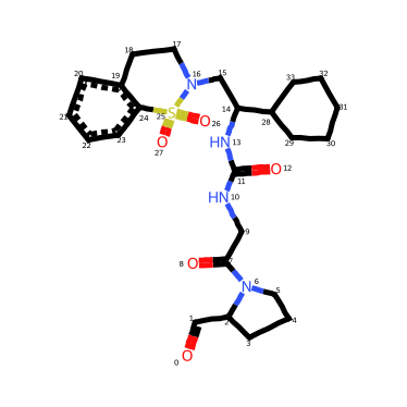 O=CC1CCCN1C(=O)CNC(=O)NC(CN1CCc2ccccc2S1(=O)=O)C1CCCCC1